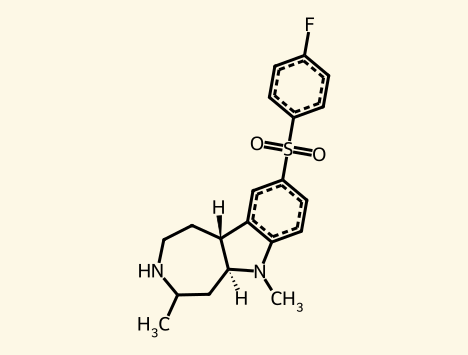 CC1C[C@H]2[C@H](CCN1)c1cc(S(=O)(=O)c3ccc(F)cc3)ccc1N2C